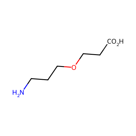 NCCCOCCC(=O)O